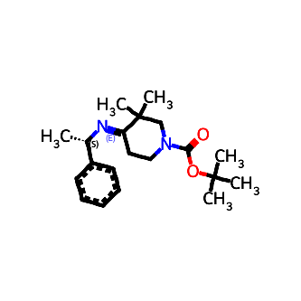 C[C@H](/N=C1\CCN(C(=O)OC(C)(C)C)CC1(C)C)c1ccccc1